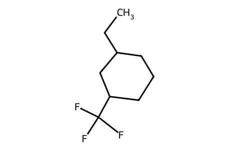 CCC1CCCC(C(F)(F)F)C1